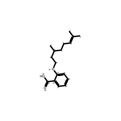 CC(C)=CCCC(C)CCOc1ccccc1C(=O)O